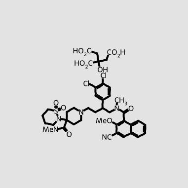 CNC(=O)C1(N2CCCCS2(=O)=O)CCN(CCC(CN(C)C(=O)c2c(OC)c(C#N)cc3ccccc23)c2ccc(Cl)c(Cl)c2)CC1.O=C(O)CC(O)(CC(=O)O)C(=O)O